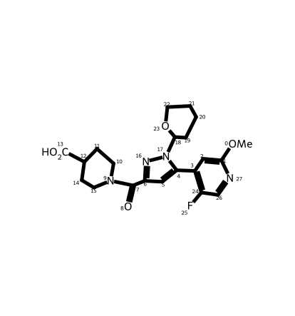 COc1cc(-c2cc(C(=O)N3CCC(C(=O)O)CC3)nn2C2CCCCO2)c(F)cn1